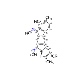 Cc1cc2/c(=N\C#N)c3cc4/c(=N\C#N)c5c(C#N)c(C(F)(F)F)ccc5c4cc3c2cc1C#N